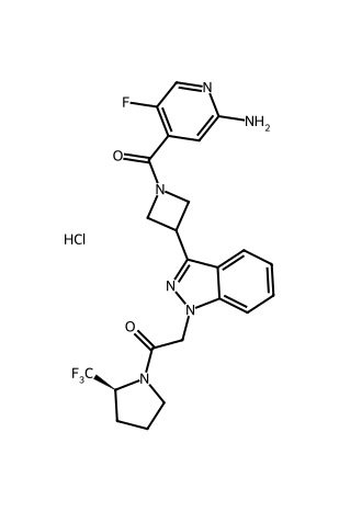 Cl.Nc1cc(C(=O)N2CC(c3nn(CC(=O)N4CCC[C@H]4C(F)(F)F)c4ccccc34)C2)c(F)cn1